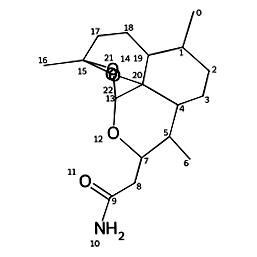 CC1CCC2C(C)C(CC(N)=O)OC3OC4(C)CCC1C32OO4